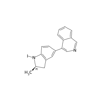 C[C@@H]1Cc2cc(-c3cncc4ccccc34)ccc2N1I